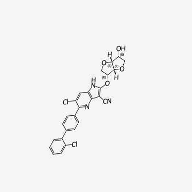 N#Cc1c(O[C@@H]2CO[C@H]3[C@@H]2OC[C@H]3O)[nH]c2cc(Cl)c(-c3ccc(-c4ccccc4Cl)cc3)nc12